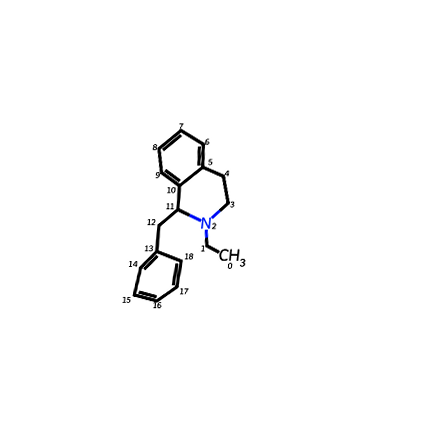 CCN1CCc2ccccc2C1Cc1ccccc1